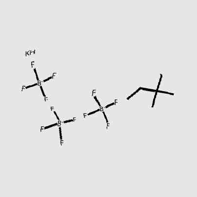 CCC(C)(C)C.F[B-](F)(F)F.F[B-](F)(F)F.F[B-](F)(F)F.[KH]